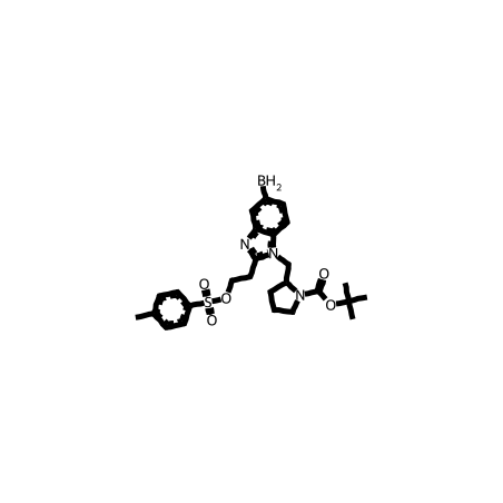 Bc1ccc2c(c1)nc(CCOS(=O)(=O)c1ccc(C)cc1)n2CC1CCCN1C(=O)OC(C)(C)C